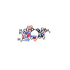 CCn1c(-c2cccnc2[C@H](C)OC)c2c3cc(ccc31)-c1cc(O)cc(c1)C[C@H](NC(=O)C(C(C)C)N(C)C(=O)[C@@H]1CO[C@H](C)CN1C(=O)[C@H]1CN1)C(=O)N1CCC[C@H](N1)C(=O)OCC(C)(C)C2